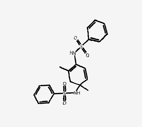 CC1=C(NS(=O)(=O)c2ccccc2)C=CC(C)(NS(=O)(=O)c2ccccc2)C1